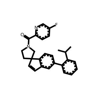 CC(C)c1ccccc1-c1ccc2c(c1)C=CC21CCN(C(=O)c2ccc(F)cn2)C1